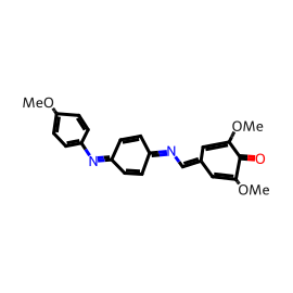 COC1=CC(=CN=C2C=CC(=Nc3ccc(OC)cc3)C=C2)C=C(OC)C1=O